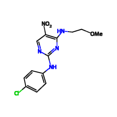 COCCNc1nc(Nc2ccc(Cl)cc2)ncc1[N+](=O)[O-]